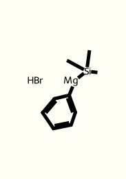 Br.C[Si](C)(C)[Mg][c]1ccccc1